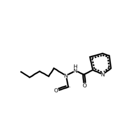 CCCCCN([C]=O)NC(=O)c1ccccn1